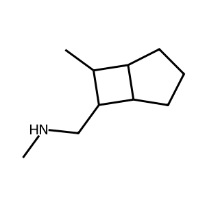 CNCC1C(C)C2CCCC21